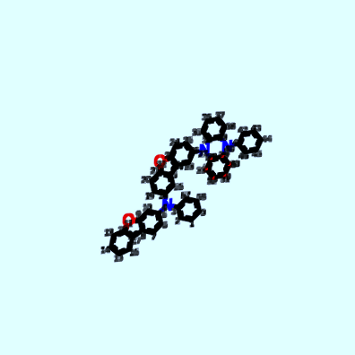 c1ccc(N(c2ccc3c(c2)oc2ccccc23)c2ccc3oc4ccc(N(c5ccccc5)c5ccccc5N(c5ccccc5)c5ccccc5)cc4c3c2)cc1